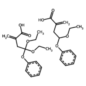 C=C(CC(OCC)(OCC)Oc1ccccc1)C(=O)O.C=C(CC(OCC)Oc1ccccc1)C(=O)O